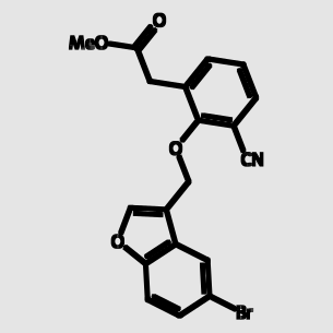 COC(=O)Cc1cccc(C#N)c1OCc1coc2ccc(Br)cc12